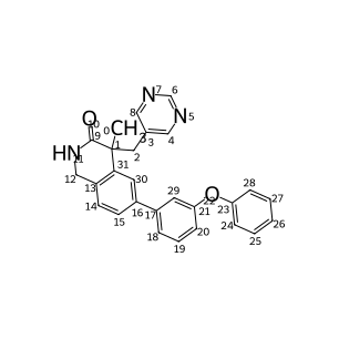 CC1(Cc2cncnc2)C(=O)NCc2ccc(-c3cccc(Oc4ccccc4)c3)cc21